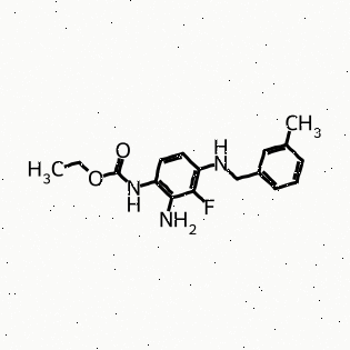 CCOC(=O)Nc1ccc(NCc2cccc(C)c2)c(F)c1N